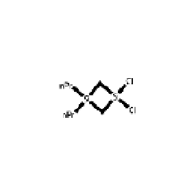 CCC[Si]1(CCC)C[Si](Cl)(Cl)C1